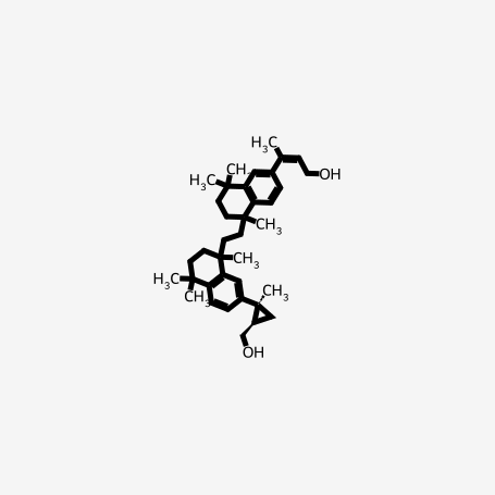 C/C(=C/CO)c1ccc2c(c1)C(C)(C)CCC2(C)CCC1(C)CCC(C)(C)c2ccc([C@@]3(C)C[C@H]3CO)cc21